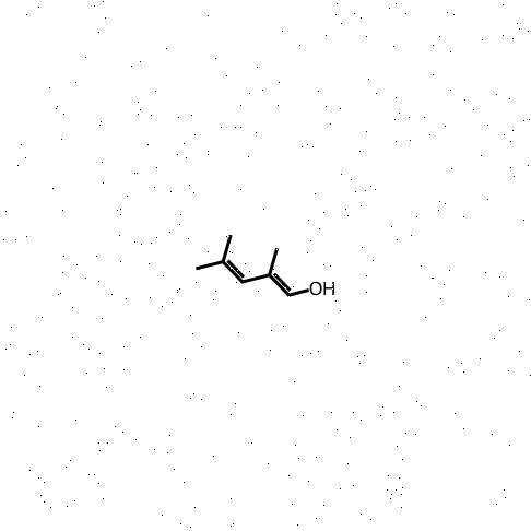 CC(C)=C/C(C)=C/O